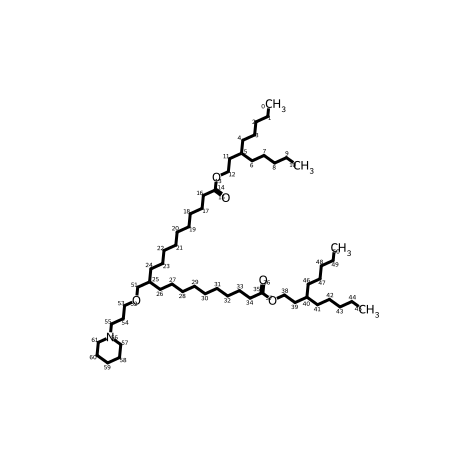 CCCCCC(CCCCC)CCOC(=O)CCCCCCCCCC(CCCCCCCCCC(=O)OCCC(CCCCC)CCCCC)COCCCN1CCCCC1